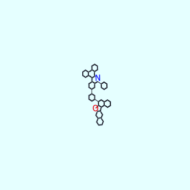 c1ccc(-c2nc3c4ccccc4c4ccccc4c3c3ccc(-c4cccc(-c5cc6ccccc6c6c5oc5cc7ccccc7cc56)c4)cc23)cc1